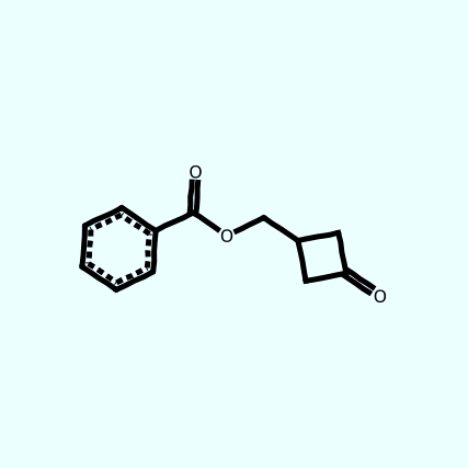 O=C1CC(COC(=O)c2ccccc2)C1